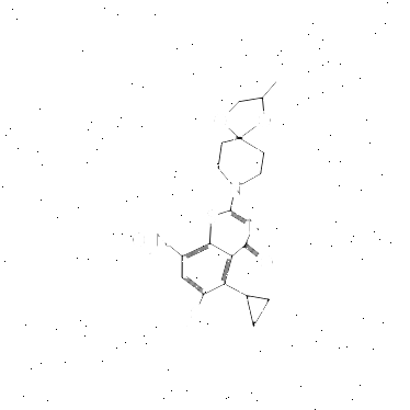 CC1COC2(CCN(c3nc(=O)c4c(C5CC5)c(C(F)(F)F)cc([N+](=O)[O-])c4s3)CC2)O1